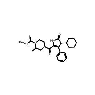 CC1CN(C(=O)c2[nH]c(=O)n(C3CCCCC3)c2-c2ccccc2)CCN1C(=O)OC(C)(C)C